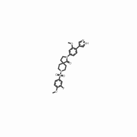 COc1ccc(S(=O)(=O)N2CCC3(CCN(c4ccc(-c5cn[nH]c5)c(OC)c4)C3=O)CC2)cc1F